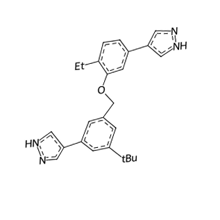 CCc1ccc(-c2cn[nH]c2)cc1OCc1cc(-c2cn[nH]c2)cc(C(C)(C)C)c1